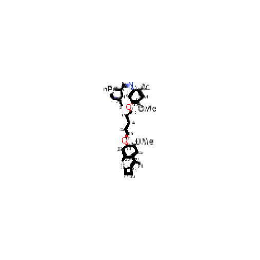 C/C=C(/C)CC(/C=N\c1cc(OCCCCCOc2cc(C)c(C(C)=C3CCC3)cc2OC)c(OC)cc1C(C)=O)CCC